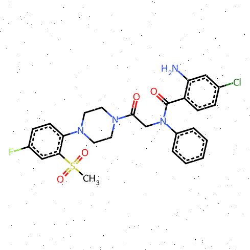 CS(=O)(=O)c1cc(F)ccc1N1CCN(C(=O)CN(C(=O)c2ccc(Cl)cc2N)c2ccccc2)CC1